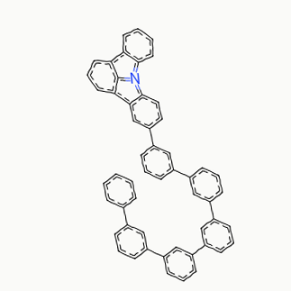 c1ccc(-c2cccc(-c3cccc(-c4cccc(-c5cccc(-c6cccc(-c7ccc8c(c7)c7cccc9c%10ccccc%10n8c97)c6)c5)c4)c3)c2)cc1